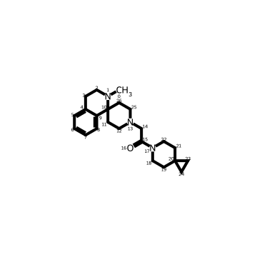 CN1CCc2ccccc2C12CCN(CC(=O)N1CCC3(CC1)CC3)CC2